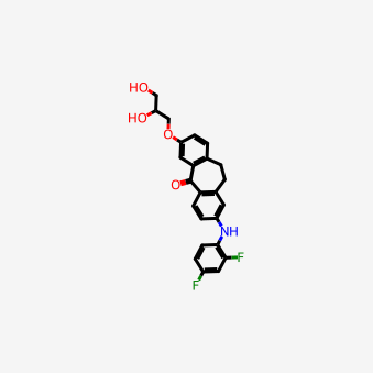 O=C1c2ccc(Nc3ccc(F)cc3F)cc2CCc2ccc(OCC(O)CO)cc21